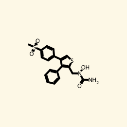 CS(=O)(=O)c1ccc(-c2csc(CN(O)C(N)=O)c2-c2ccccc2)cc1